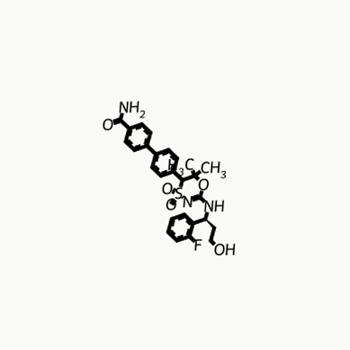 CC1(C)OC(N[C@@H](CCO)c2ccccc2F)=NS(=O)(=O)C1c1ccc(-c2ccc(C(N)=O)cc2)cc1